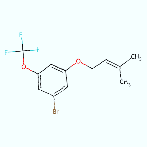 CC(C)=CCOc1cc(Br)cc(OC(F)(F)F)c1